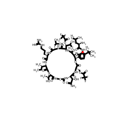 CC[C@H](C)[C@@H]1NC(=O)[C@@H](CCCNC(=N)N)NC(=O)[C@H](CC(C)C)NC(=O)[C@H]([C@H](OC(=O)C(F)(F)F)C(C)C)NC(=O)[C@@H](NC(=O)[C@H](CC(C)(C)C)NC(=O)[C@H](N)CC(C)C)[C@@H](c2ccccc2)OC(=O)[C@H](COC(=O)C(F)(F)F)NC(=O)[C@H]([C@H](O)C(N)=O)NC(=O)CNC(=O)[C@H]([C@H](C)O)NC1=O